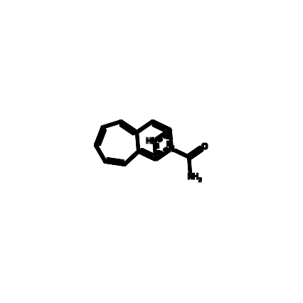 NC(=O)n1c2[nH]c1=C1C=CC=CC=C1C=2